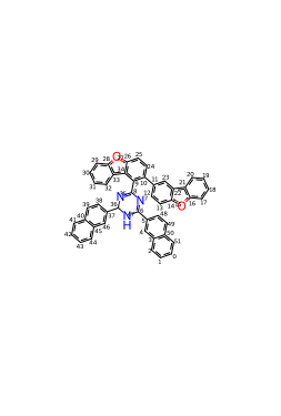 c1ccc2cc(C3=NC(c4c(-c5ccc6oc7ccccc7c6c5)ccc5oc6ccccc6c45)=NC(c4ccc5ccccc5c4)N3)ccc2c1